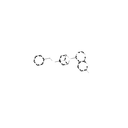 Cc1ccc2c(N3c4cc(OCc5ccccc5)cc3c4Br)ncnc2n1